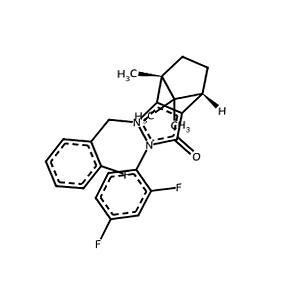 CC1(C)[C@@H]2CC[C@@]1(C)c1c2c(=O)n(-c2ccc(F)cc2F)n1Cc1ccccc1F